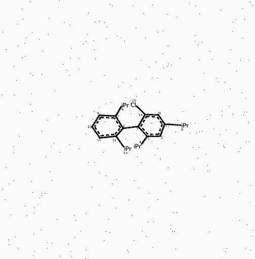 CC(C)c1[c]c(C(C)C)c(-c2c(C(C)C)cccc2C(C)C)c(Cl)c1